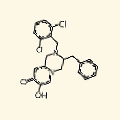 O=c1cc2n(cc1O)CC(Cc1ccccc1)N(Cc1c(Cl)cccc1Cl)C2